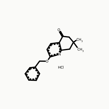 CC1(C)CC(=O)c2ccc(OCc3ccccc3)nc2C1.Cl